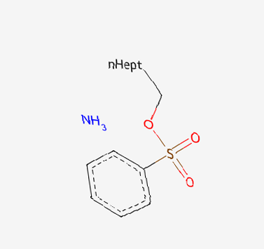 CCCCCCCCOS(=O)(=O)c1ccccc1.N